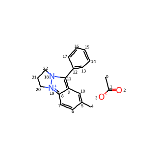 CC(=O)[O-].Cc1ccc2c(c1)c(-c1ccccc1)n1[n+]2CCC1